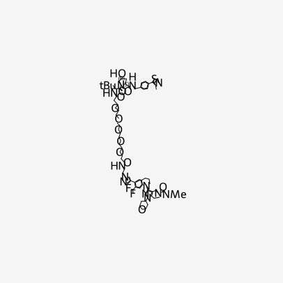 CNC(=O)N1CCc2c(c(N3CCCc4cc(-c5cnn(CCNC(=O)CCOCCOCCOCCOCCOCCC(=O)NC(C(=O)N6C[C@H](O)C[C@H]6C(=O)NCc6ccc(-c7scnc7C)cc6)C(C)(C)C)c5)c(C(F)F)cc43)nn2C2CCOCC2)C1